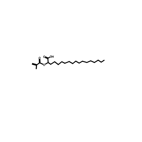 C=C(C)C(=O)OC(CCCCCCCCCCCCCCCC)C(=O)O